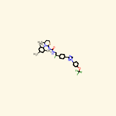 Cc1cc(C)c(N2/C(=N/C(=O)N/C=C(\F)c3ccc(-c4ncn(-c5ccc(OC(F)(F)F)cc5)n4)cc3)SCCC2C)c(C)c1